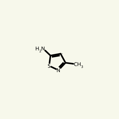 Cc1[c]c(N)sn1